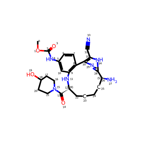 COC(=O)Nc1ccc2c(c1)N[C@@H](C(=O)N1CCC(O)CC1)CCCC[C@H](N)c1nc-2c(C#N)[nH]1